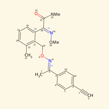 C#Cc1ccc(/C(C)=N/OCc2c(C)cccc2/C(=N\OC)C(=O)NC)cc1